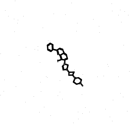 CN1CCN(C2CC(N3C=CN(c4ccc5ccc(-c6ccccc6)nc5c4F)C3)C2)CC1